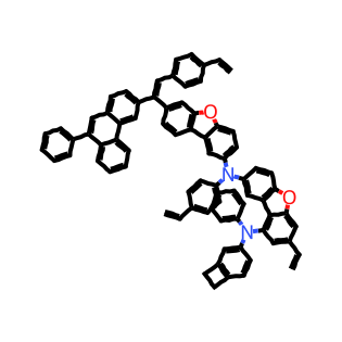 C=Cc1ccc(/C=C(\c2ccc3c(c2)oc2ccc(N(c4ccc(C=C)cc4)c4ccc5oc6cc(C=C)cc(N(c7ccccc7)c7ccc8c(c7)CC8)c6c5c4)cc23)c2ccc3cc(-c4ccccc4)c4ccccc4c3c2)cc1